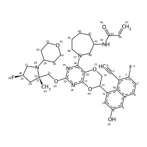 C#Cc1c(F)ccc2cc(O)cc(C3COc4c(nc(OC[C@]5(C)C[C@@H](F)CN5C5CCOCC5)nc4N4CCCCC(NC(=O)C=C)C4)O3)c12